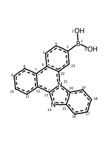 OB(O)c1ccc2c3ccccc3c3nc4ccccc4n3c2c1